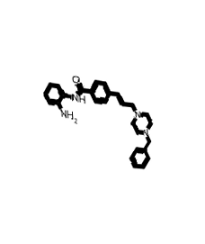 Nc1ccccc1NC(=O)c1ccc(C=CCN2CCN(Cc3ccccc3)CC2)cc1